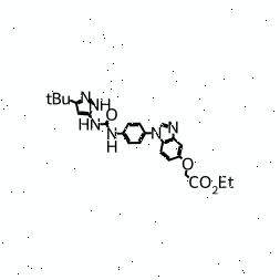 CCOC(=O)COc1ccc2c(c1)ncn2-c1ccc(NC(=O)Nc2cc(C(C)(C)C)n[nH]2)cc1